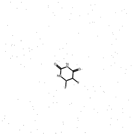 O=C1NC(=O)C(F)C(F)N1